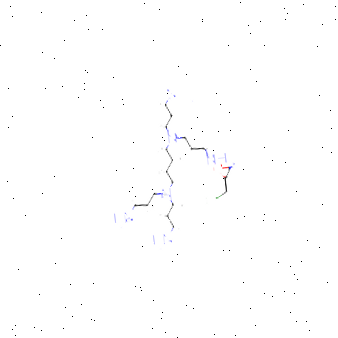 ClCC1CO1.NCCCN(CCCN)CCCCN(CCCN)CCCN